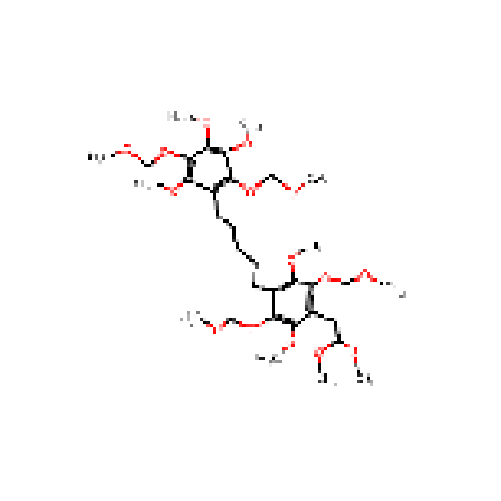 COCOc1c(CCCCCc2c(OCOC)c(OC)c(OC)c(OCOC)c2OC)c(OC)c(OCOC)c(CC(OC)OC)c1OC